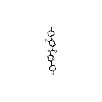 O=C(Nc1ccc(C2=CCNCC2)nc1)c1ccc(C2=CCNCC2)c(F)c1